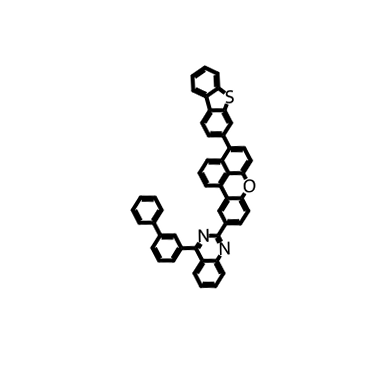 c1ccc(-c2cccc(-c3nc(-c4ccc5c(c4)-c4cccc6c(-c7ccc8c(c7)sc7ccccc78)ccc(c46)O5)nc4ccccc34)c2)cc1